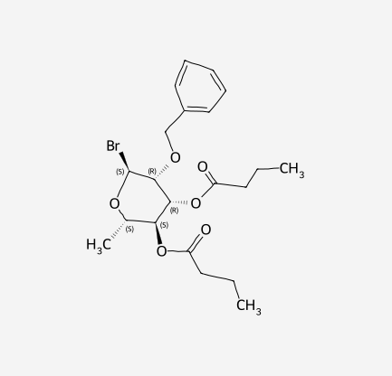 CCCC(=O)O[C@@H]1[C@@H](OC(=O)CCC)[C@H](C)O[C@@H](Br)[C@@H]1OCc1ccccc1